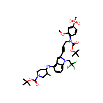 COc1cc(S(C)(=O)=O)ccc1N(CC#Cc1cc2c(NC3CCN(C(=O)OC(C)(C)C)CC3F)cccc2n1CC(F)(F)F)C(=O)OC(C)(C)C